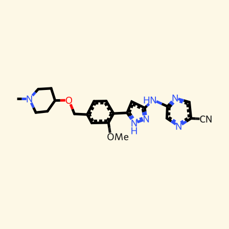 COc1cc(COC2CCN(C)CC2)ccc1-c1cc(Nc2cnc(C#N)cn2)n[nH]1